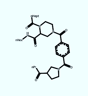 CCCCCCCC(=O)N1CCN(C(=O)c2ccc(C(=O)N3CCC(C(=O)CCC)C3)cc2)CC1C(=O)NCCCCCC